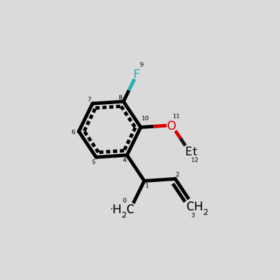 [CH2]C(C=C)c1cccc(F)c1OCC